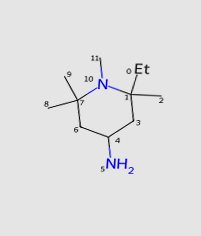 CCC1(C)CC(N)CC(C)(C)N1C